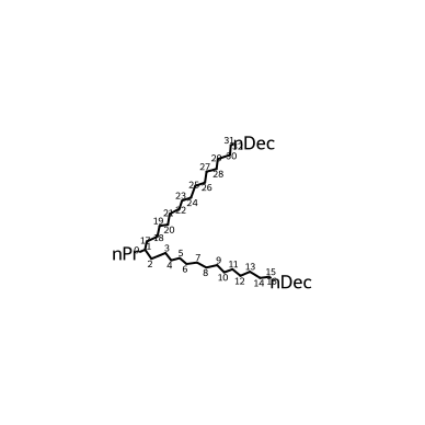 [CH2]CCC(CCCCCCCCCCCCCCCCCCCCCCCC)CCCCCCCCCCCCCCCCCCCCCCCCC